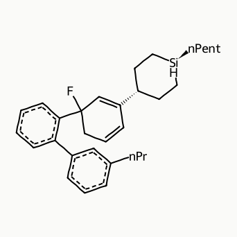 CCCCC[Si@H]1CC[C@H](C2=CC(F)(c3ccccc3-c3cccc(CCC)c3)CC=C2)CC1